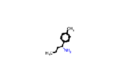 CCC[C@@H](N)c1ccc(C)cc1